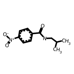 CC(C)C[N]C(=O)c1ccc([N+](=O)[O-])cc1